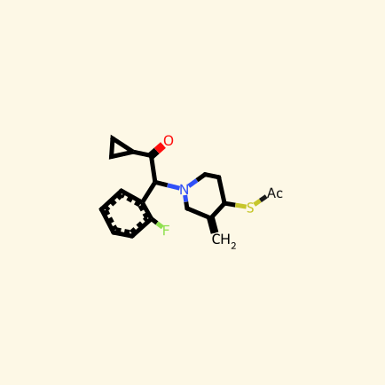 C=C1CN(C(C(=O)C2CC2)c2ccccc2F)CCC1SC(C)=O